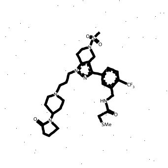 CSCC(=O)NCc1cc(-c2nn(CCCN3CCC(N4CCCC4=O)CC3)c3c2CN(S(C)(=O)=O)CC3)ccc1C(F)(F)F